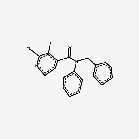 Cc1c(C(=O)N(Cc2ccccc2)c2ccccc2)ccnc1Cl